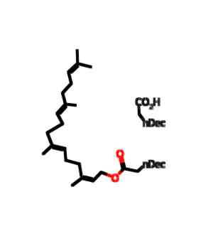 CCCCCCCCCCCC(=O)O.CCCCCCCCCCCC(=O)OC/C=C(/C)CC/C=C(\C)CC/C=C(\C)CCC=C(C)C